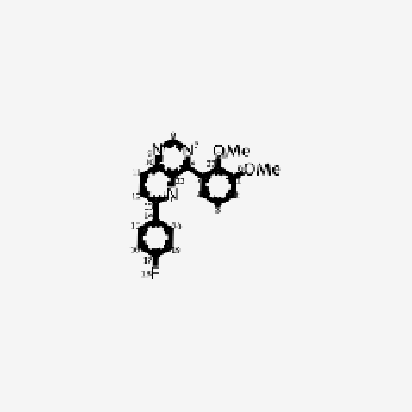 COc1cccc(-c2ncnc3ccc(-c4ccc(F)cc4)nc23)c1OC